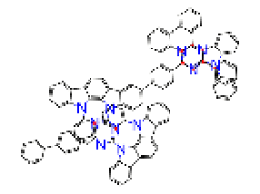 c1ccc(-c2ccc(-c3nc(-n4c5ccccc5c5ccc6c7ccccc7n(-c7ccccc7)c6c54)nc(-n4c5ccc(-c6ccc(-c7nc(-c8ccccc8)nc(-c8ccccc8-c8ccccc8-c8ccc9c(c8)c8ccccc8n9-c8ccccc8)n7)cc6)cc5c5ccc6c7ccccc7n(-c7ccccc7)c6c54)n3)cc2)cc1